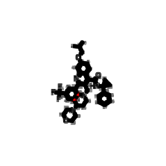 CC(C)COc1ccc2c(C(=O)NC3(c4ccccc4)CC3)c(CN3CCC(N4CCOCC4)CC3)c(-c3cccc(C(F)(F)F)c3)nc2c1